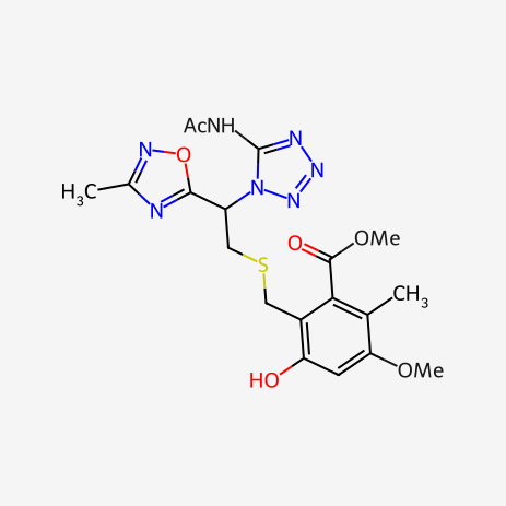 COC(=O)c1c(C)c(OC)cc(O)c1CSCC(c1nc(C)no1)n1nnnc1NC(C)=O